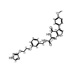 COc1ccc(-c2csc3nc(C(=O)NCc4cccc(OCCOc5nc[nH]n5)c4)[nH]c(=O)c23)cc1